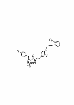 COc1cc(CCNC(=O)C(NS(C)(=O)=O)C(C)Cc2ccc(F)cc2)ccc1OCC#Cc1ccccc1Cl